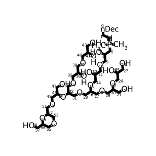 CCCCCCCCCCCC[PH](C)(C)CC(O)COCC(O)COC(COCC(CO)OCC(O)CO)COCC(COCC(O)COCC(O)CO)OC(CO)COCC1COCC(CO)O1